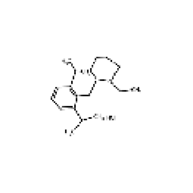 CCN1CCCCC1Cc1c(C(C)C)cccc1C(C)C.Cl